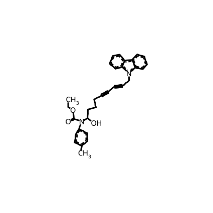 CCOC(=O)N(c1ccc(C)cc1)C(O)CCCC#CC#CCn1c2ccccc2c2ccccc21